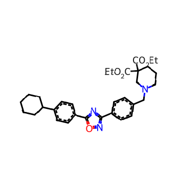 CCOC(=O)C1(C(=O)OCC)CCCN(Cc2ccc(-c3noc(-c4ccc(C5CCCCC5)cc4)n3)cc2)C1